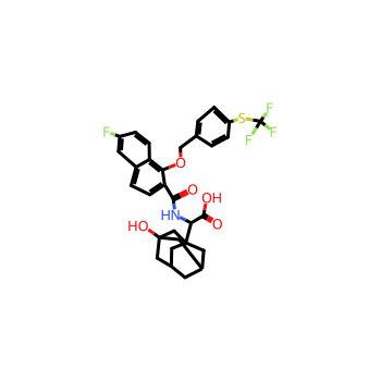 O=C(NC(C(=O)O)C12CC3CC(CC(O)(C3)C1)C2)c1ccc2cc(F)ccc2c1OCc1ccc(SC(F)(F)F)cc1